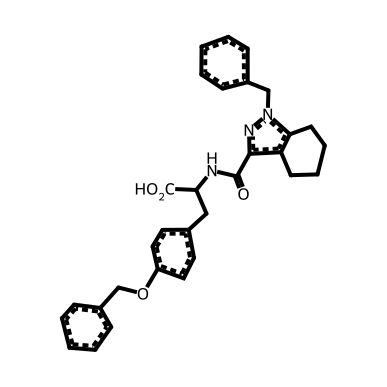 O=C(NC(Cc1ccc(OCc2ccccc2)cc1)C(=O)O)c1nn(Cc2ccccc2)c2c1CCCC2